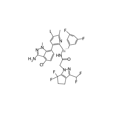 Cc1nc([C@H](Cc2cc(F)cc(F)c2)NC(=O)Cn2nc(C(F)F)c3c2C(F)(F)CC3)c(-c2ccc(Cl)c3c(N)nn(C)c23)cc1I